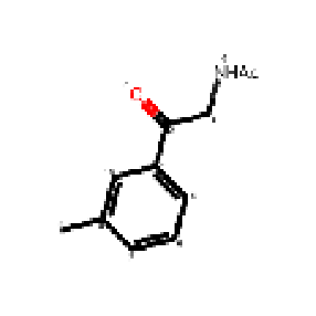 CC(=O)NCC(=O)c1cccc(C)c1